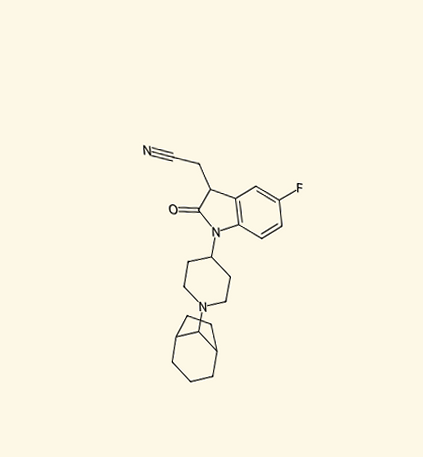 N#CCC1C(=O)N(C2CCN(C3C4CCCC3CC4)CC2)c2ccc(F)cc21